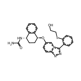 NC(=O)N[C@H]1CC[C@H](Oc2ccc3nnc(-c4ccccc4SCCO)n3c2)c2ccccc21